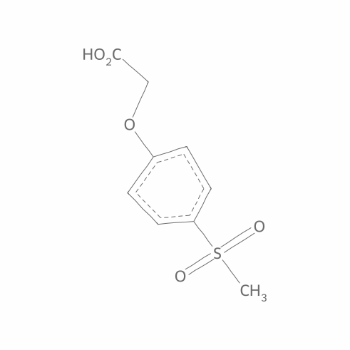 CS(=O)(=O)c1ccc(OCC(=O)O)cc1